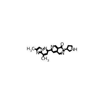 Cc1cn2nc(-c3cc4cnn(C5CCNC5)c(=O)c4cn3)cc(C)c2n1